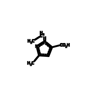 CC.Cc1cc(C(=O)O)[nH]n1